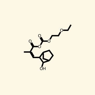 CCOCCOC(=O)OC(=O)C(C)=CC1C2CCC(C2)C1O